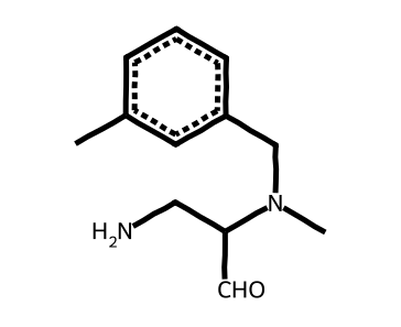 Cc1cccc(CN(C)C(C=O)CN)c1